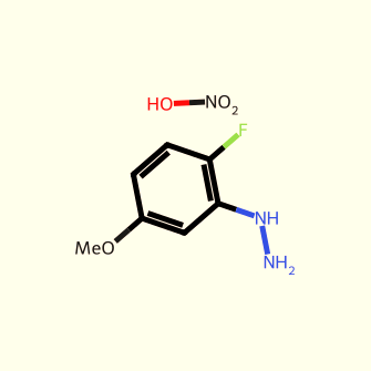 COc1ccc(F)c(NN)c1.O=[N+]([O-])O